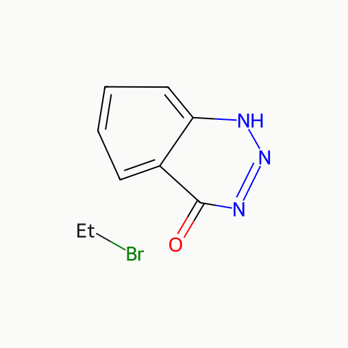 CCBr.O=c1nn[nH]c2ccccc12